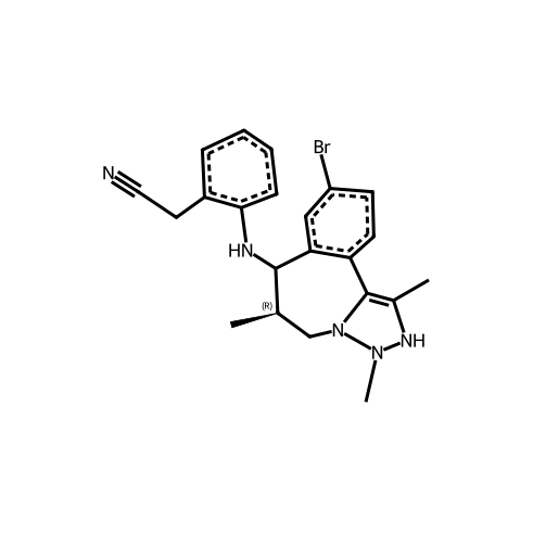 CC1=C2c3ccc(Br)cc3C(Nc3ccccc3CC#N)[C@H](C)CN2N(C)N1